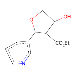 CCOC(=O)C1C(O)COC1c1cccnc1